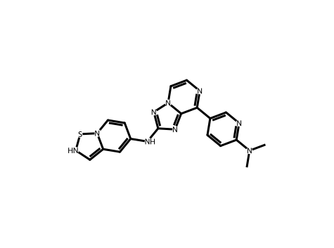 CN(C)c1ccc(-c2nccn3nc(NC4=CC5=CNSN5C=C4)nc23)cn1